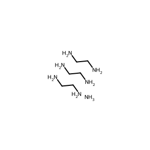 N.NCCN.NCCN.NCCN